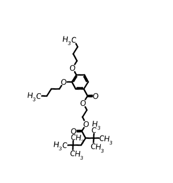 CCCCOc1ccc(C(=O)OCCOC(=O)C(CC(C)(C)C)C(C)(C)C)cc1OCCCC